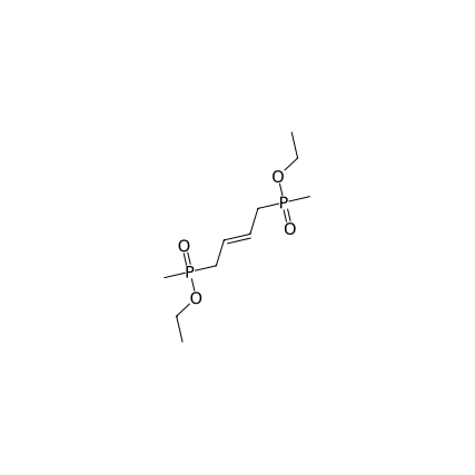 CCOP(C)(=O)C/C=C/CP(C)(=O)OCC